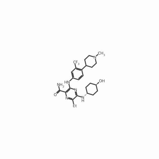 CCc1nc(C(N)=O)c(Nc2ccc(C3CCN(C)CC3)c(C(F)(F)F)c2)nc1N[C@H]1CC[C@H](O)CC1